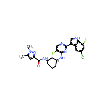 Cc1cc(C(=O)NC2CCC[C@H](Nc3nc(-c4c[nH]c5c(F)cc(Cl)cc45)ncc3F)C2)nn1C